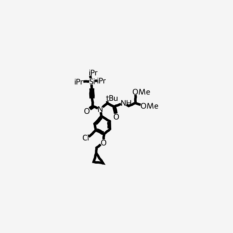 COC(CNC(=O)C(N(C(=O)C#C[Si](C(C)C)(C(C)C)C(C)C)c1ccc(OCC2CC2)c(Cl)c1)C(C)(C)C)OC